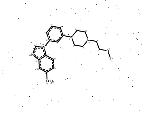 CCOCCN1CCN(c2cccc(-n3cnc4cc(C(=O)O)ccc43)c2)CC1